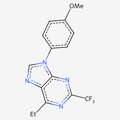 CCc1nc(C(F)(F)F)nc2c1ncn2-c1ccc(OC)cc1